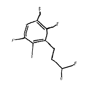 Fc1[c]c(F)c(F)c(CCC(F)F)c1F